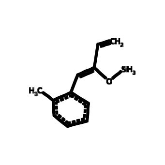 C=CC(=Cc1ccccc1C)O[SiH3]